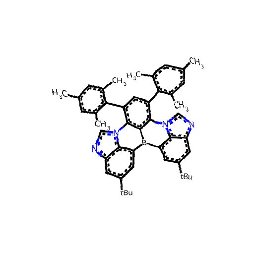 Cc1cc(C)c(-c2cc(-c3c(C)cc(C)cc3C)c3c4c2-n2cnc5cc(C(C)(C)C)cc(c52)B4c2cc(C(C)(C)C)cc4ncn-3c24)c(C)c1